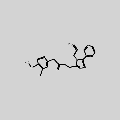 C=CCn1c(CCC(=O)Cc2ccc(OC)c(Cl)c2)nnc1-c1cccnc1